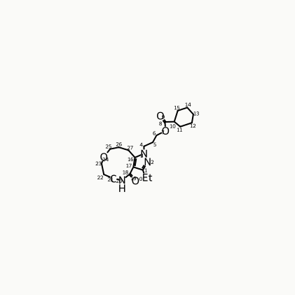 CCc1nn(CCCOC(=O)C2CCCCC2)c2c1C(=O)NCCCOCCC2